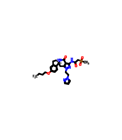 CS(=O)(=O)CC(=O)Nc1nn(CCn2cccn2)c2c1C(=O)N[C@@]1(CCc3cc(OCCCC(F)(F)F)ccc31)C2